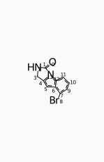 O=C1NCc2cc3c(Br)cccc3n21